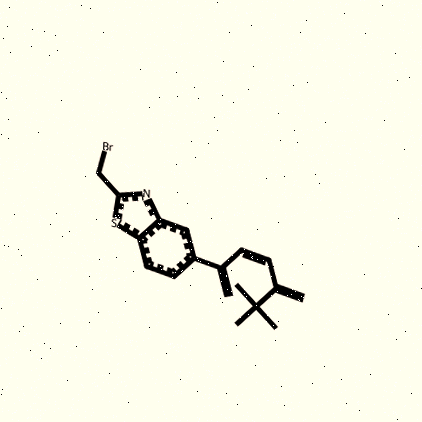 C=C(/C=C\C(=C)C(C)(C)C)c1ccc2sc(CBr)nc2c1